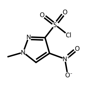 Cn1cc([N+](=O)[O-])c(S(=O)(=O)Cl)n1